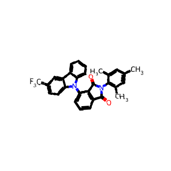 Cc1cc(C)c(N2C(=O)c3cccc(-n4c5ccccc5c5cc(C(F)(F)F)ccc54)c3C2=O)c(C)c1